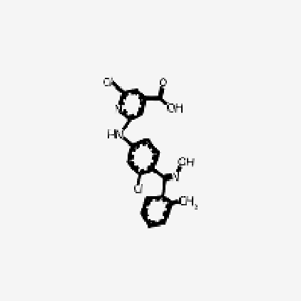 Cc1ccccc1C(=NO)c1ccc(Nc2cc(C(=O)O)cc(Cl)n2)cc1Cl